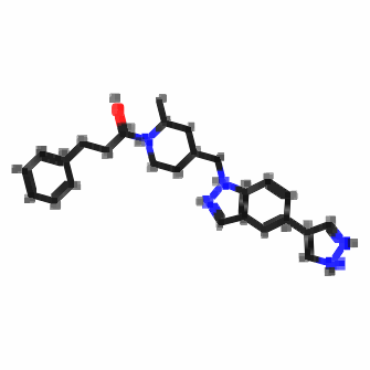 CC1CC(Cn2ncc3cc(-c4cn[nH]c4)ccc32)CCN1C(=O)CCc1ccccc1